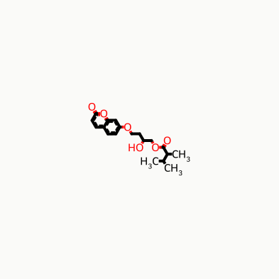 CC(C)C(C)C(=O)OCC(O)CCOc1ccc2ccc(=O)oc2c1